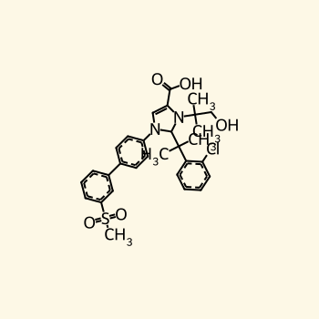 CC(C)(c1ccccc1Cl)C1N(c2ccc(-c3cccc(S(C)(=O)=O)c3)cc2)C=C(C(=O)O)N1C(C)(C)CO